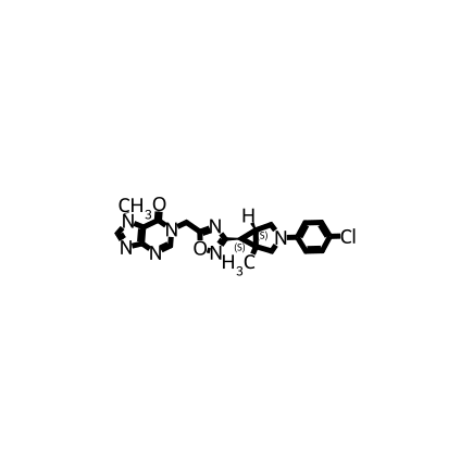 Cn1cnc2ncn(Cc3nc([C@H]4[C@@H]5CN(c6ccc(Cl)cc6)CC54C)no3)c(=O)c21